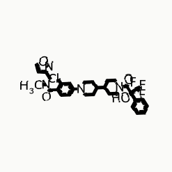 CN(Cc1ccon1)C(=O)c1ccc(N2CCC(C3CCN(C(=O)C(O)(c4ccccc4)C(F)(F)F)CC3)CC2)cc1Cl